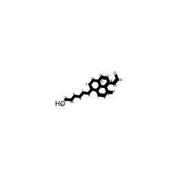 C=C1C=CC2C(CCCCCCO)CCC3C=CC(/C=C\C)=C1C32